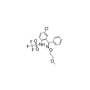 COCCO/N=C(\c1ccccc1)c1cc(Cl)ccc1NS(=O)(=O)C(F)(F)F